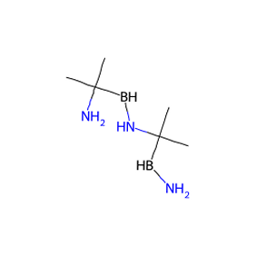 CC(C)(N)BNC(C)(C)BN